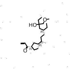 C=CC(=O)[C@H]1CC[C@@H]([C@@H](C)CC[C@@H](CC)CC(O)(CC)COC)C1